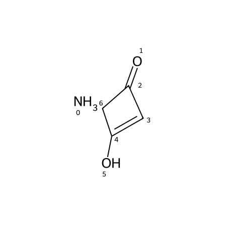 N.O=C1C=C(O)C1